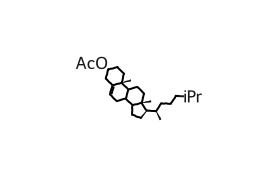 CC(=O)O[C@H]1CC[C@@]2(C)C(=CCC3C2CC[C@@]2(C)C3CC[C@@H]2[C@H](C)CCCC(C)C)C1